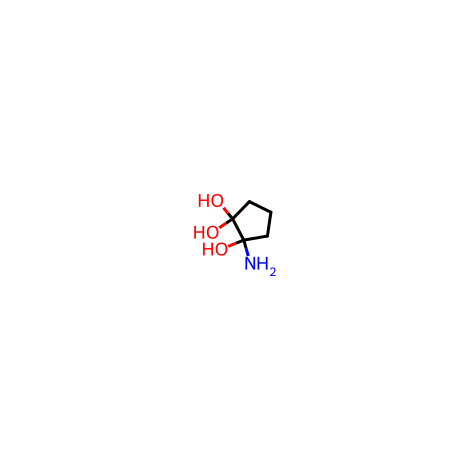 NC1(O)CCCC1(O)O